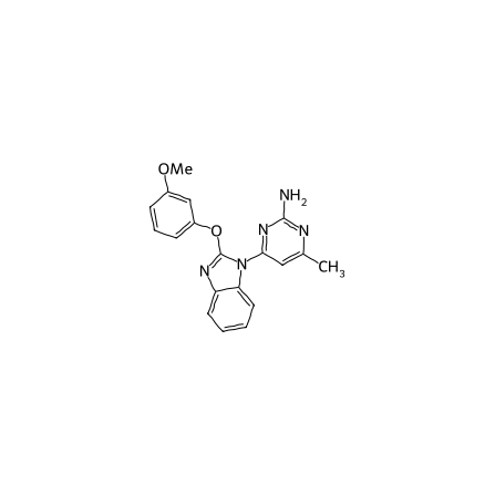 COc1cccc(Oc2nc3ccccc3n2-c2cc(C)nc(N)n2)c1